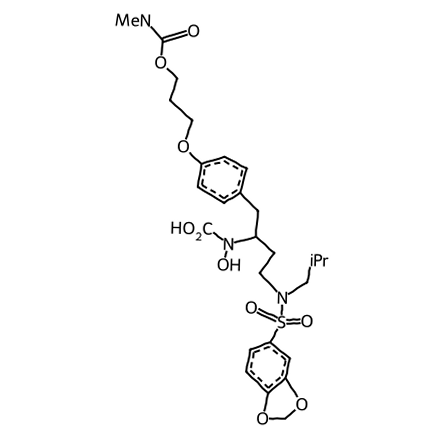 CNC(=O)OCCCOc1ccc(CC(CCN(CC(C)C)S(=O)(=O)c2ccc3c(c2)OCO3)N(O)C(=O)O)cc1